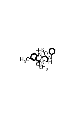 CCC(NC1CCCCC1)C(CNc1ccc(C)cc1C(=O)OC)OC